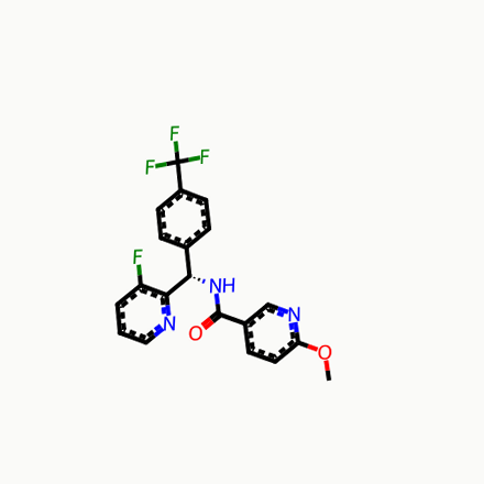 COc1ccc(C(=O)N[C@@H](c2ccc(C(F)(F)F)cc2)c2ncccc2F)cn1